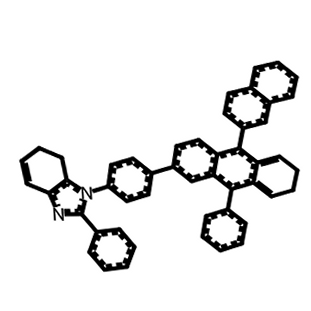 C1=Cc2nc(-c3ccccc3)n(-c3ccc(-c4ccc5c(-c6ccc7ccccc7c6)c6c(c(-c7ccccc7)c5c4)=CCCC=6)cc3)c2CC1